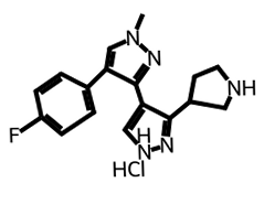 Cl.Cn1cc(-c2ccc(F)cc2)c(-c2c[nH]nc2C2CCNC2)n1